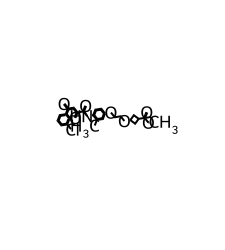 COC(=O)C1CC(OCCOc2ccc(NC(=O)c3cc(=O)c4cccc(Cl)c4o3)c(C)c2)C1